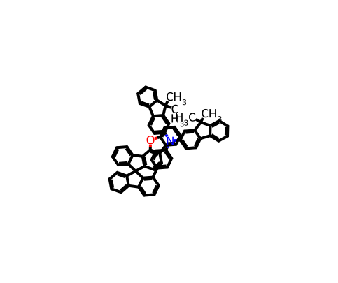 CC1(C)c2ccccc2-c2ccc(N(c3ccc(-c4cccc5c4C4(c6ccccc6-5)c5ccccc5-c5c4ccc4c5oc5ccccc54)cc3)c3ccc4c(c3)C(C)(C)c3ccccc3-4)cc21